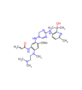 C=CC(=O)Nc1cc(NN2C=NC(Nc3ccc(C)nc3C(C)(C)O)=NC2)c(OC)cc1N(C)CCN(C)C